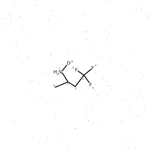 CC(CC(F)(F)F)[SiH2][O]